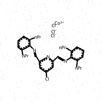 CCCc1cccc(CCC)c1N=Cc1cc(Cl)cc(C=Nc2c(CCC)cccc2CCC)n1.[Cl-].[Cl-].[Cl-].[Co+3]